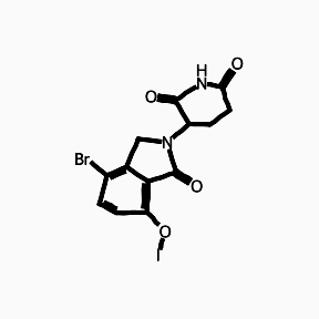 O=C1CCC(N2Cc3c(Br)ccc(OI)c3C2=O)C(=O)N1